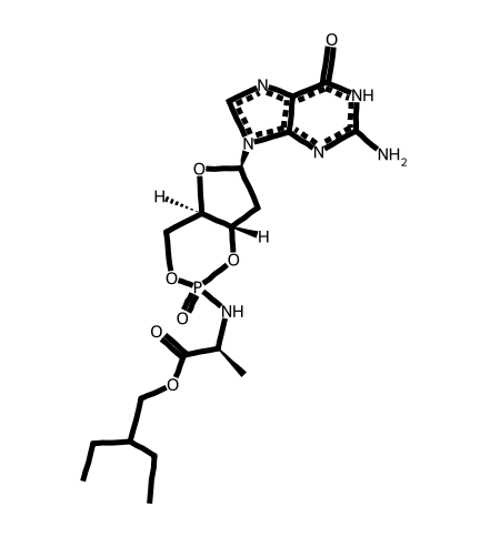 CCC(CC)COC(=O)[C@H](C)NP1(=O)OC[C@H]2O[C@@H](n3cnc4c(=O)[nH]c(N)nc43)C[C@@H]2O1